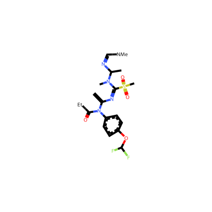 C=C(/N=C(\N(C)C(C)/N=C\NC)S(C)(=O)=O)N(C(=O)CC)c1ccc(OC(F)F)cc1